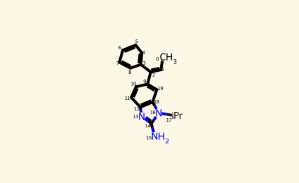 CC=C(c1ccccc1)c1ccc2nc(N)n(C(C)C)c2c1